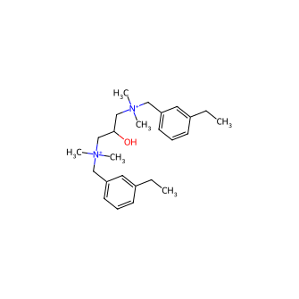 CCc1cccc(C[N+](C)(C)CC(O)C[N+](C)(C)Cc2cccc(CC)c2)c1